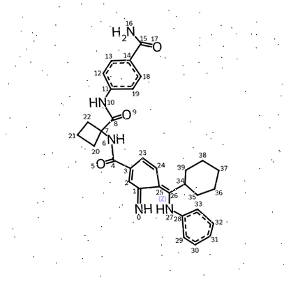 N=C1C=C(C(=O)NC2(C(=O)Nc3ccc(C(N)=O)cc3)CCC2)C=C/C1=C(/Nc1ccccc1)C1CCCCC1